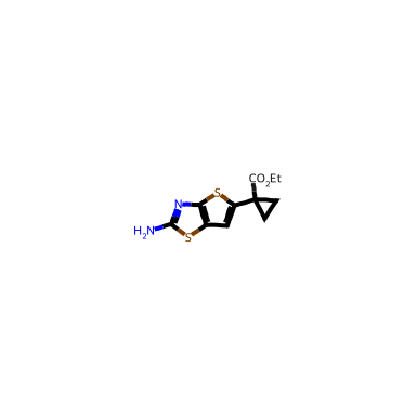 CCOC(=O)C1(c2cc3sc(N)nc3s2)CC1